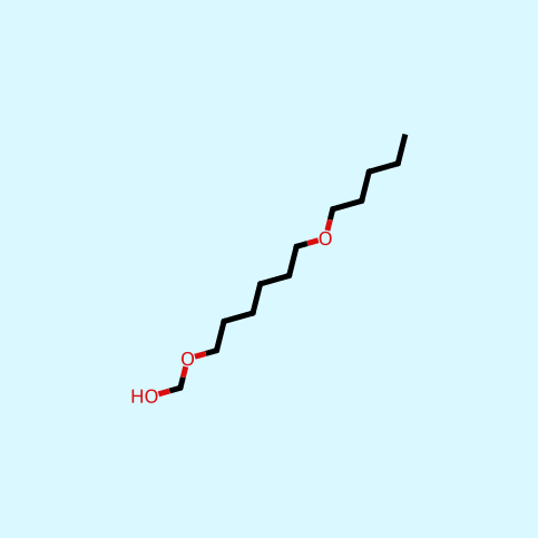 CCCCCOCCCCCCOCO